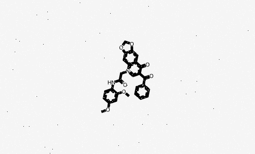 COc1ccc(NC(=O)Cn2cc(C(=O)c3ccccc3)c(=O)c3cc4c(cc32)OCO4)c(OC)c1